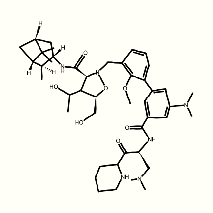 COc1c(CN2O[C@@H](CO)C(C(C)O)[C@H]2C(=O)N[C@H]2C[C@H]3C[C@@H]([C@@H]2C)C3(C)C)cccc1-c1cc(C(=O)N[C@@H](CN(C)C)C(=O)C2CCCCN2)cc(N(C)C)c1